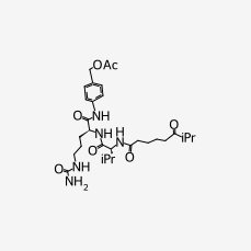 CC(=O)OCc1ccc(NC(=O)[C@H](CCCNC(N)=O)NC(=O)[C@@H](NC(=O)CCCCC(=O)C(C)C)C(C)C)cc1